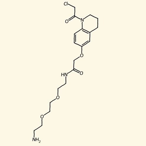 NCCOCCOCCNC(=O)COc1ccc2c(c1)CCCN2C(=O)CCl